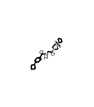 O=C(NCC(=O)N1CCN(S(=O)(=O)c2ccccc2)CC1)c1ccc(-c2ccccc2)cc1